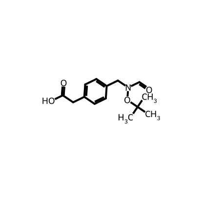 CC(C)(C)ON(C=O)Cc1ccc(CC(=O)O)cc1